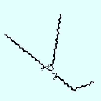 CCCCCCCC/C=C\CCCCCCCC(=O)OC[C@H](COC(=O)CCCCCCCCCCCCCCCCCCCC)OC(=O)CCCCCCCCCCCCCCCCCCCC